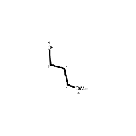 COC[CH]C[O]